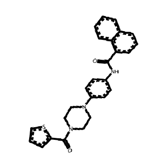 O=C(Nc1ccc(N2CCN(C(=O)c3cccs3)CC2)cc1)c1cccc2ccccc12